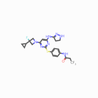 O=C(CC(F)(F)F)Nc1ccc(Sc2nc(NC3=NNCC3)cc(N3CC(F)(C4CC4)C3)n2)cc1